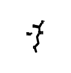 COCCNC(=S)[S-].[Na+]